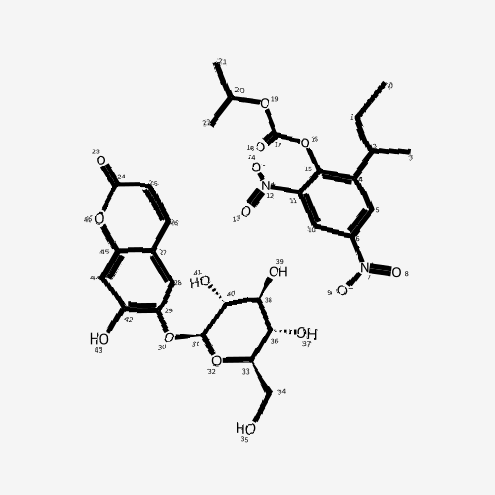 CCC(C)c1cc([N+](=O)[O-])cc([N+](=O)[O-])c1OC(=O)OC(C)C.O=c1ccc2cc(O[C@@H]3O[C@H](CO)[C@@H](O)[C@H](O)[C@H]3O)c(O)cc2o1